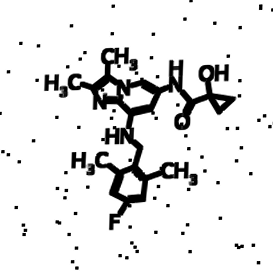 Cc1cc(F)cc(C)c1CNc1cc(NC(=O)C2(O)CC2)cn2c(C)c(C)nc12